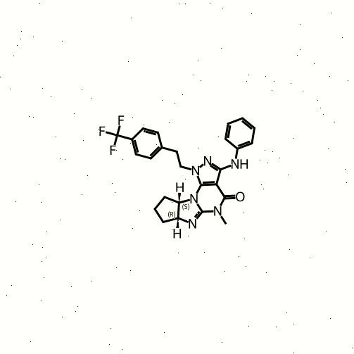 CN1C(=O)c2c(Nc3ccccc3)nn(CCc3ccc(C(F)(F)F)cc3)c2N2C1=N[C@@H]1CCC[C@@H]12